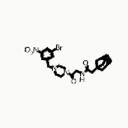 O=C(CC12CC3CC(C1)C(C3)C2)NCC(=O)N1CCN(Cc2cc(Br)cc([N+](=O)[O-])c2)CC1